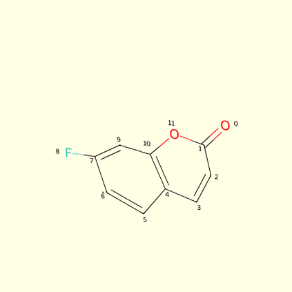 O=c1ccc2c[c]c(F)cc2o1